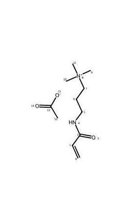 C=CC(=O)NCCC[N+](C)(C)C.CC(=O)[O-]